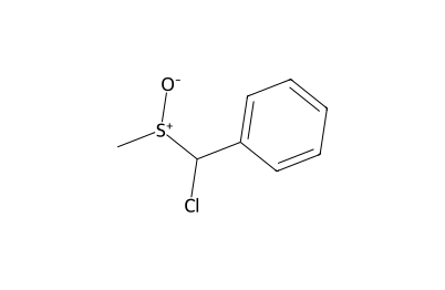 C[S+]([O-])C(Cl)c1ccccc1